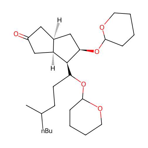 CCCCC(C)CCC(OC1CCCCO1)[C@H]1[C@H]2CC(=O)C[C@H]2C[C@H]1OC1CCCCO1